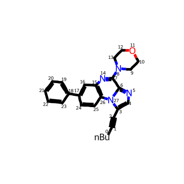 CCCCC#Cc1cnc2c(N3CCOCC3)nc3cc(-c4ccccc4)ccc3n12